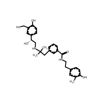 Cc1cc(CCNC(=O)c2cccc(CC(C)(C)NC[C@H](O)c3ccc(O)c(CO)c3)c2)ccc1O